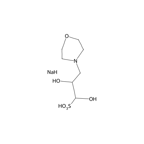 O=S(=O)(O)C(O)C(O)CN1CCOCC1.[NaH]